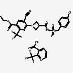 CCOC(=O)c1cc(C#N)c(N2CC(C(=O)NS(=O)(=O)Cc3ccc(Cl)cc3)C2)nc1C(F)(F)F.O=C(O)c1cccnc1C(F)(F)F